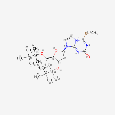 CSc1nc(=O)nc2n([C@H]3CC(O[Si](C)(C)C(C)(C)C)[C@@H](CO[Si](C)(C)C(C)(C)C)O3)ccn12